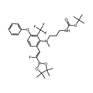 CN(CCCNC(=O)OC(C)(C)C)c1c(/C=C(\F)B2OC(C)(C)C(C)(C)O2)ccc(Oc2ccccc2)c1C(F)(F)F